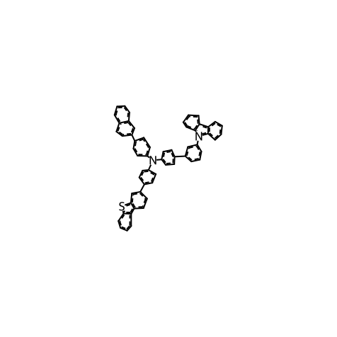 c1cc(-c2ccc(N(c3ccc(-c4ccc5ccccc5c4)cc3)c3ccc(-c4ccc5c(c4)sc4ccccc45)cc3)cc2)cc(-n2c3ccccc3c3ccccc32)c1